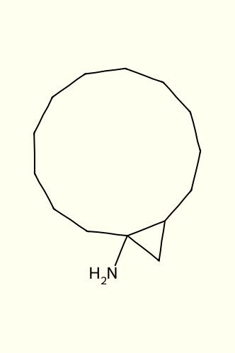 NC12CCCCCCCCCCCC1C2